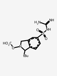 CC(C)(C)C1c2ccc(S(=O)(=O)NC(=N)N)cc2CN1OC(=O)O